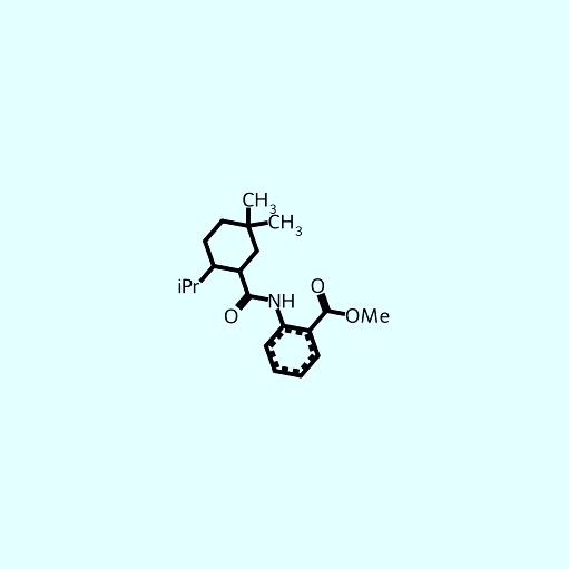 COC(=O)c1ccccc1NC(=O)C1CC(C)(C)CCC1C(C)C